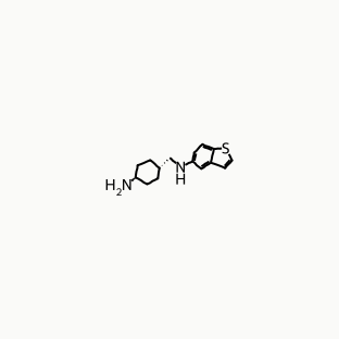 N[C@H]1CC[C@H](CNc2ccc3sccc3c2)CC1